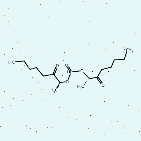 CCCCCC(=O)[C@H](C)O[PH](=O)O[C@@H](C)C(=O)CCCCC